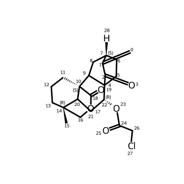 C=C1C(=O)C23CC[C@H]1CC2[C@@]12CCC[C@@](C)(COC1=O)C2C[C@H]3OC(=O)CCl